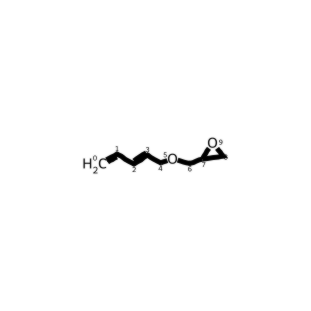 C=CC=CCOCC1CO1